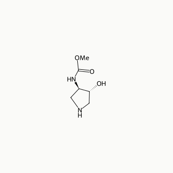 COC(=O)N[C@@H]1CNC[C@H]1O